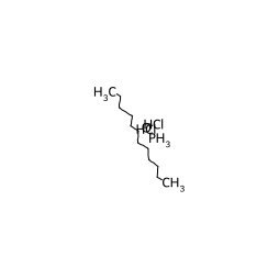 CCCCCCCCCCCC.Cl.Cl.O=[PH3]